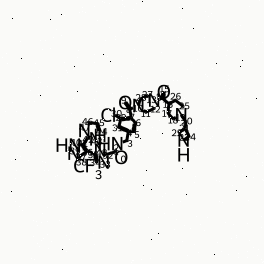 O=C(NCc1ccc(C(=O)N2CCN(C(=O)C3CCN(CC4CNC4)CC3)CC2)c(Cl)c1)c1ncc(-c2c(C(F)(F)F)n[nH]c2-c2ncccn2)[nH]1